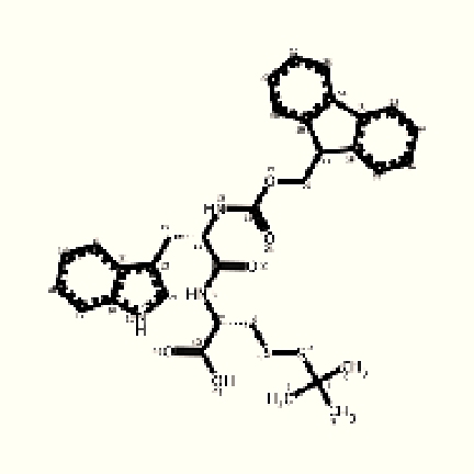 CC(C)(C)SSC[C@@H](NC(=O)[C@H](Cc1c[nH]c2ccccc12)NC(=O)OCC1c2ccccc2-c2ccccc21)C(=O)O